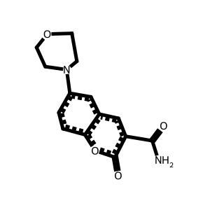 NC(=O)c1cc2cc(N3CCOCC3)ccc2oc1=O